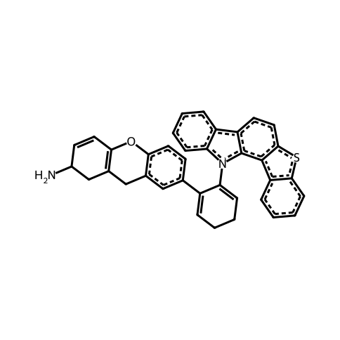 NC1C=CC2=C(Cc3cc(C4=CCCC=C4n4c5ccccc5c5ccc6sc7ccccc7c6c54)ccc3O2)C1